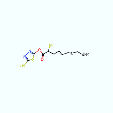 CCCCCCCCCCCCCCCCC(S)C(=O)Oc1nnc(S)s1